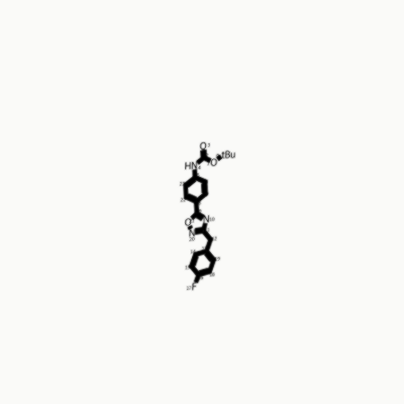 CC(C)(C)OC(=O)Nc1ccc(-c2nc(Cc3ccc(F)cc3)no2)cc1